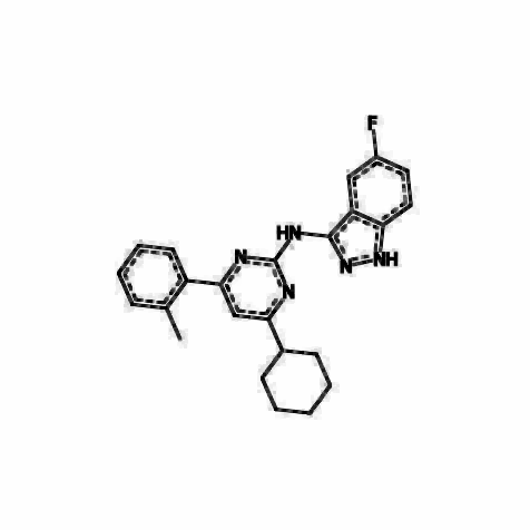 Cc1ccccc1-c1cc(C2CCCCC2)nc(Nc2n[nH]c3ccc(F)cc23)n1